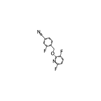 N#Cc1ccc(COc2nc(F)ccc2F)c(F)c1